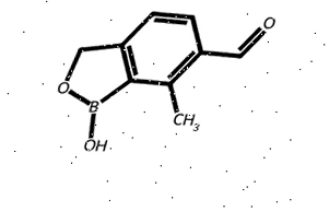 Cc1c(C=O)ccc2c1B(O)OC2